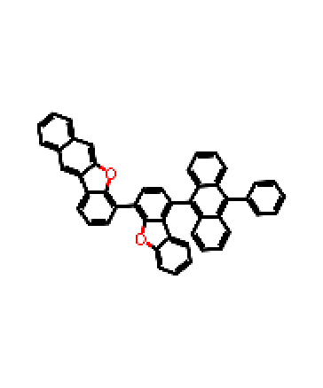 c1ccc(-c2c3ccccc3c(-c3ccc(-c4cccc5c4oc4cc6ccccc6cc45)c4oc5ccccc5c34)c3ccccc23)cc1